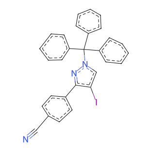 N#Cc1ccc(-c2nn(C(c3ccccc3)(c3ccccc3)c3ccccc3)cc2I)cc1